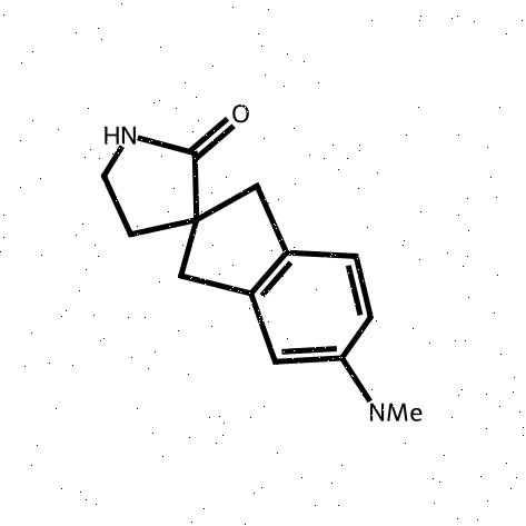 CNc1ccc2c(c1)CC1(CCNC1=O)C2